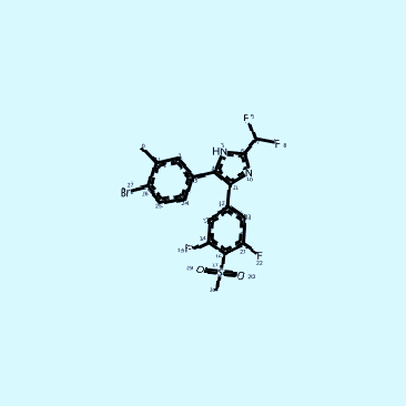 Cc1cc(-c2[nH]c(C(F)F)nc2-c2cc(F)c(S(C)(=O)=O)c(F)c2)ccc1Br